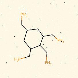 PCC1CC(CP)C(CP)C(CP)C1